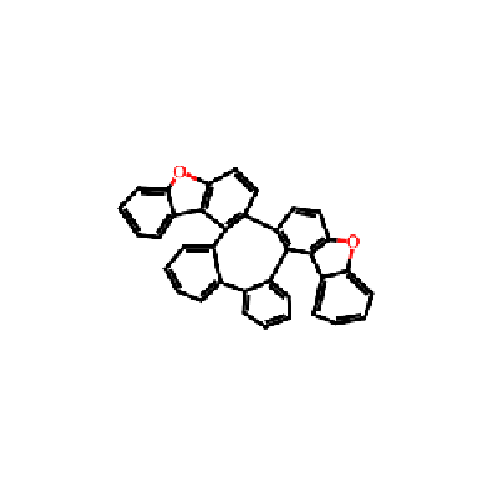 c1ccc2c(c1)-c1ccccc1-c1c(ccc3oc4ccccc4c13)-c1ccc3oc4ccccc4c3c1-2